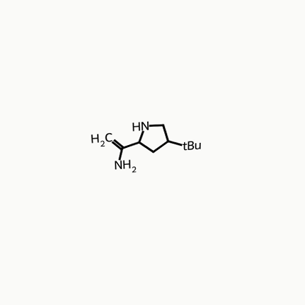 C=C(N)C1CC(C(C)(C)C)CN1